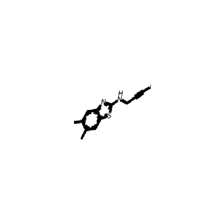 Cc1cc2nc(NCC#CI)sc2cc1C